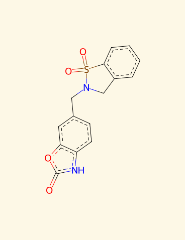 O=c1[nH]c2ccc(CN3Cc4ccccc4S3(=O)=O)cc2o1